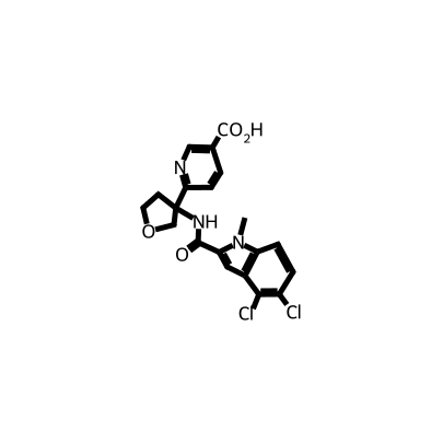 Cn1c(C(=O)NC2(c3ccc(C(=O)O)cn3)CCOC2)cc2c(Cl)c(Cl)ccc21